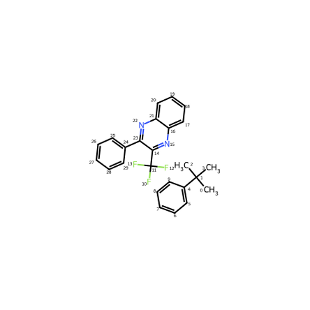 CC(C)(C)c1ccccc1.FC(F)(F)c1nc2ccccc2nc1-c1ccccc1